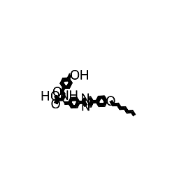 CCCCCCCOc1ccc(-c2cnc(-c3ccc(C[C@H](NC(=O)c4ccc(CO)cc4)C(=O)O)cc3)nc2)cc1